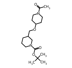 CC(=O)N1CCC(OCC2CCCN(C(=O)OC(C)(C)C)C2)CC1